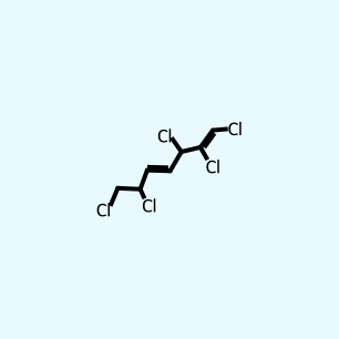 ClC=C(Cl)C(Cl)C=CC(Cl)CCl